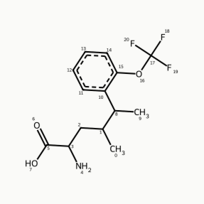 CC(CC(N)C(=O)O)C(C)c1ccccc1OC(F)(F)F